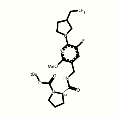 COc1nc(N2CCC(CC(F)(F)F)C2)c(F)cc1CNC(=O)[C@@H]1CCCN1C(=O)OC(C)(C)C